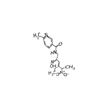 CCC(=CC(CNC(=O)c1ccc(C)nc1)=NO)C(C)[N+](=O)[O-]